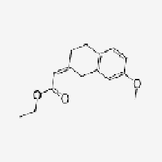 CCOC(=O)/C=C1/CCc2ccc(OC)cc2C1